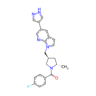 C[C@H]1C[C@H](Cn2ccc3cc(-c4cn[nH]c4)cnc32)CN1C(=O)c1ccc(F)cc1